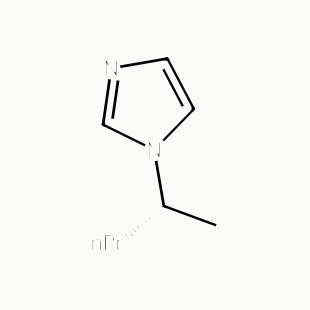 CCC[C@@H](C)n1ccnc1